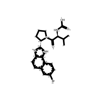 CC(C)[C@H](NC(=O)O)C(=O)N1CCC[C@H]1c1nc2ccc3cc(Br)ccc3c2[nH]1